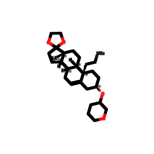 CSCC[C@]12CC[C@H](OC3CCCOC3)CC1=CC[C@@H]1[C@@H]2CC[C@@]2(C)[C@H]1CCC21OCCO1